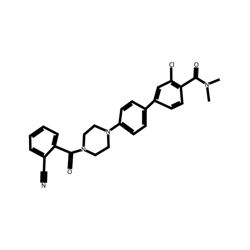 CN(C)C(=O)c1ccc(-c2ccc(N3CCN(C(=O)c4ccccc4C#N)CC3)cc2)cc1Cl